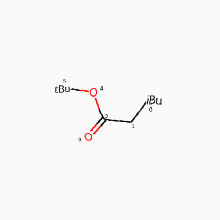 CCC(C)CC(=O)OC(C)(C)C